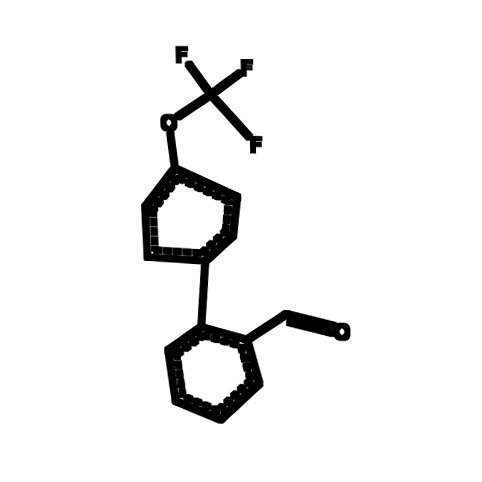 O=Cc1ccccc1-c1ccc(OC(F)(F)F)cc1